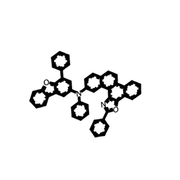 c1ccc(-c2nc3c(o2)c2ccccc2c2ccc4ccc(N(c5ccccc5)c5cc(-c6ccccc6)c6oc7ccccc7c6c5)cc4c23)cc1